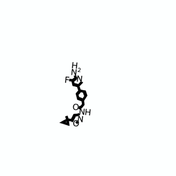 CC1(c2cc(NC(=O)Cc3ccc(-c4cnc(N)c(F)c4)cc3)no2)CC1